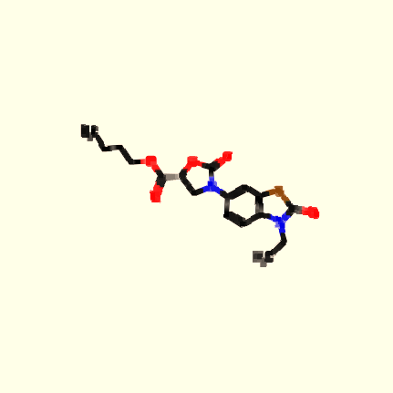 CCCCOC(=O)[C@H]1CN(c2ccc3c(c2)sc(=O)n3CC)C(=O)O1